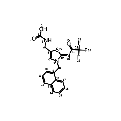 O=C(O)NCc1cn(Cc2cccc3ccccc23)c(=NC(=O)C(F)(F)F)s1